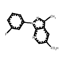 Cc1nn(-c2cccc(F)c2)c2ncc(C(=O)O)cc12